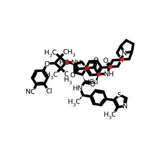 Cc1ncsc1-c1ccc([C@H](C)NC(=O)[C@@H]2C[C@@H](O)CN2C(=O)[C@@H](NC(=O)CN2CC3CCC(C2)N3CCCc2ccc(C(=O)NC3C(C)(C)C(Oc4ccc(C#N)c(Cl)c4)C3(C)C)cc2)C(C)(C)C)cc1